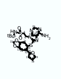 CC(C)(C)NS(=O)(=O)CCn1c(Sc2cc3c(cc2-c2ccco2)OCO3)nc2c(N)ncnc21